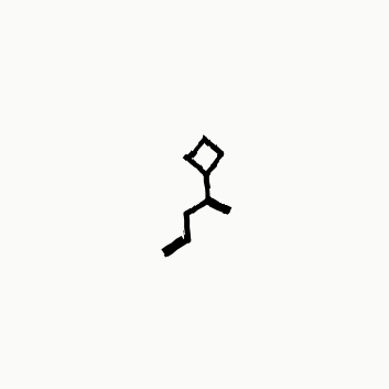 C=CCC(=C)C1CCC1